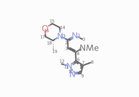 C/N=C(\C=C(/NC)c1c(C)cnn1C)N1CCOC[C@H]1C